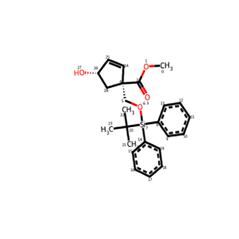 COC(=O)[C@]1(CO[Si](c2ccccc2)(c2ccccc2)C(C)(C)C)C=C[C@@H](O)C1